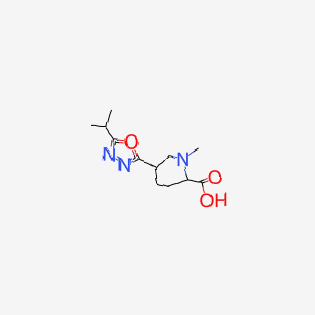 CC(C)c1nnc(C2CCC(C(=O)O)N(C)C2)o1